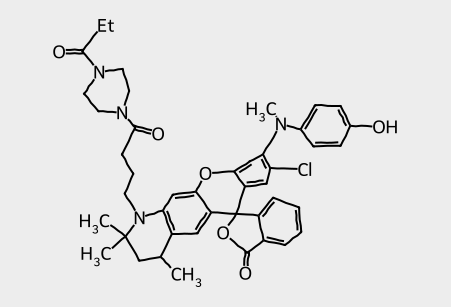 CCC(=O)N1CCN(C(=O)CCCN2c3cc4c(cc3C(C)CC2(C)C)C2(OC(=O)c3ccccc32)c2cc(Cl)c(N(C)c3ccc(O)cc3)cc2O4)CC1